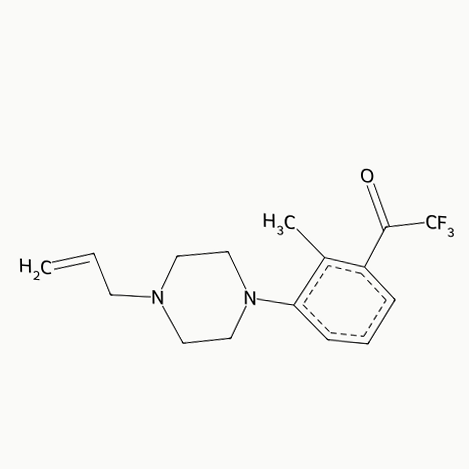 C=CCN1CCN(c2cccc(C(=O)C(F)(F)F)c2C)CC1